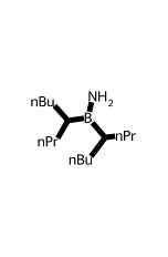 CCCCC(CCC)B(N)C(CCC)CCCC